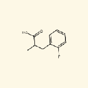 CC(Cc1ccccc1F)C(=O)O